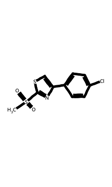 CS(=O)(=O)c1nc(-c2ccc(Cl)cc2)cs1